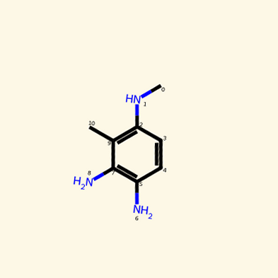 CNc1ccc(N)c(N)c1C